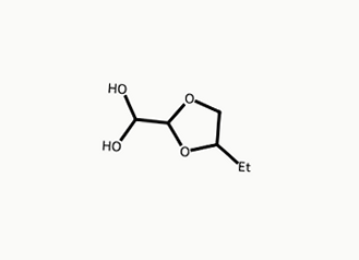 CCC1COC(C(O)O)O1